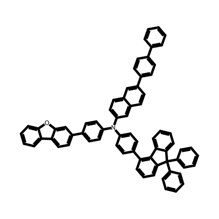 c1ccc(-c2ccc(-c3ccc4cc(N(c5ccc(-c6ccc7c(c6)oc6ccccc67)cc5)c5ccc(-c6cccc7c6-c6ccccc6C7(c6ccccc6)c6ccccc6)cc5)ccc4c3)cc2)cc1